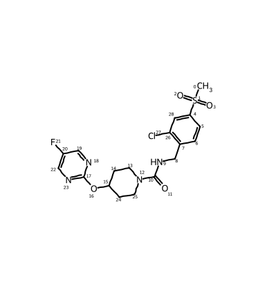 CS(=O)(=O)c1ccc(CNC(=O)N2CCC(Oc3ncc(F)cn3)CC2)c(Cl)c1